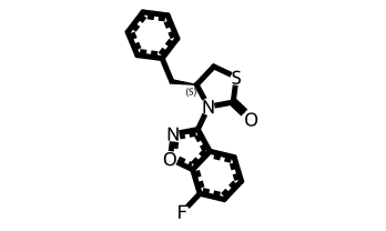 O=C1SC[C@H](Cc2ccccc2)N1c1noc2c(F)cccc12